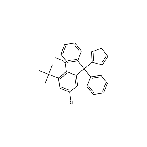 COc1c(C(C)(C)C)cc(Cl)cc1C(C1=CCC=C1)(c1ccccc1)c1ccccc1